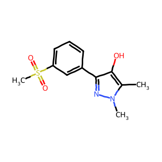 Cc1c(O)c(-c2cccc(S(C)(=O)=O)c2)nn1C